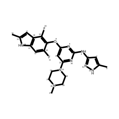 Cc1cc(Nc2nc(Oc3c(F)cc4[nH]c(C)cc4c3F)cc(N3CCN(C)CC3)n2)n[nH]1